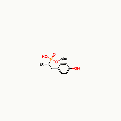 CCCCOP(=O)(O)C(CC)Cc1ccc(O)cc1